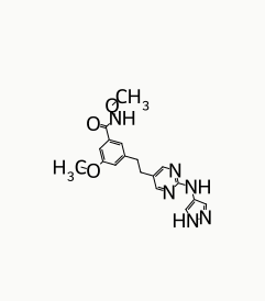 CONC(=O)c1cc(CCc2cnc(Nc3cn[nH]c3)nc2)cc(OC)c1